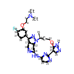 CCN(CC)CCOc1cc(-c2nn3c4cc(ncc24)Nc2ccnc(n2)-c2cnn(C)c2OCC[C@@H]3C)ccc1F